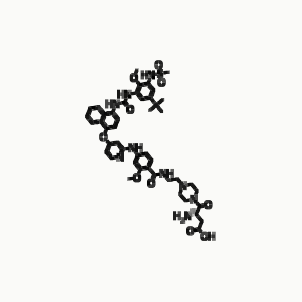 COc1cc(Nc2cc(Oc3ccc(NC(=O)Nc4cc(C(C)(C)C)cc(NS(C)(=O)=O)c4OC)c4ccccc34)ccn2)ccc1C(=O)NCCN1CCN(C(=O)[C@@H](N)CC(=O)O)CC1